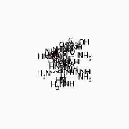 C[C@H](NC(=O)[C@H](CC(=O)O)NC(=O)CN)C(=O)N[C@@H](Cc1c[nH]cn1)C(=O)N[C@@H](Cc1c[nH]c2ccccc12)C(=O)N[C@@H](CCCCN)C(=O)N[C@@H](CCCNC(=N)N)C(=O)N[C@@H](CCCNC(=N)N)C(=O)N[C@@H](CCCCN)C(=O)N[C@@H](CCCNC(=N)N)C(=O)O